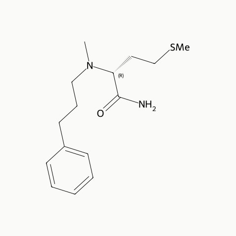 CSCC[C@H](C(N)=O)N(C)CCCc1ccccc1